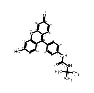 CC(C)(C)NC(=S)Nc1ccc(-c2c3ccc(=O)cc-3oc3cc(O)ccc23)cc1